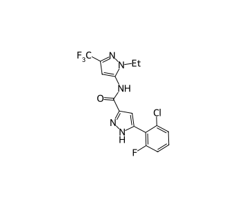 CCn1nc(C(F)(F)F)cc1NC(=O)c1cc(-c2c(F)cccc2Cl)[nH]n1